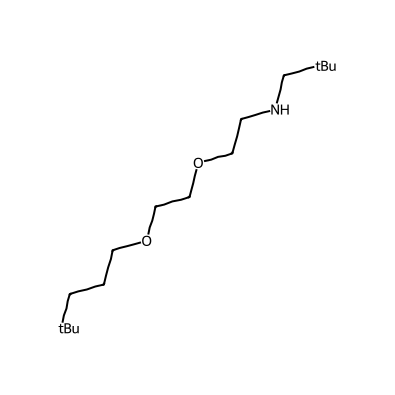 CC(C)(C)CCCOCCOCCNCC(C)(C)C